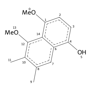 COc1ccc(O)c2cc(C)c(C)c(OC)c12